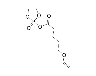 C=COCCCCC(=O)OP(=O)(OC)OC